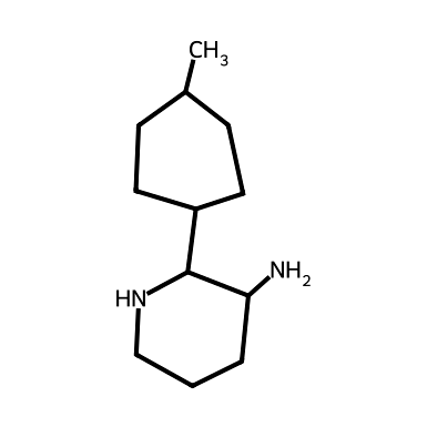 CC1CCC(C2NCCCC2N)CC1